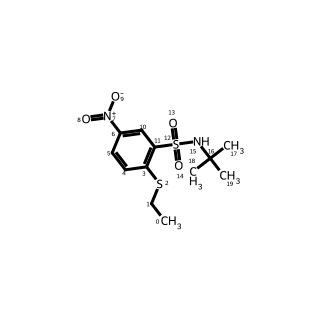 CCSc1ccc([N+](=O)[O-])cc1S(=O)(=O)NC(C)(C)C